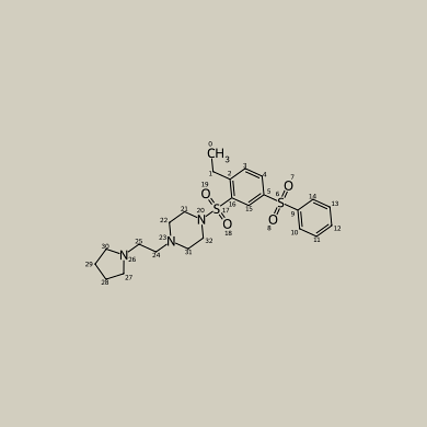 CCc1ccc(S(=O)(=O)c2ccccc2)cc1S(=O)(=O)N1CCN(CCN2CCCC2)CC1